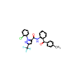 Cc1ccc(C(=O)c2ccccc2NC(=O)c2cc(C(F)(F)F)nn2-c2ccccc2Cl)cc1